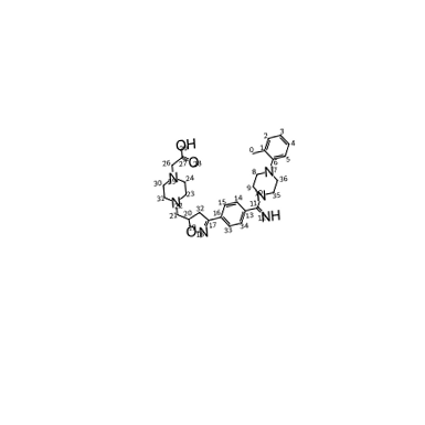 Cc1ccccc1N1CCN(C(=N)c2ccc(C3=NOC(CN4CCN(CC(=O)O)CC4)C3)cc2)CC1